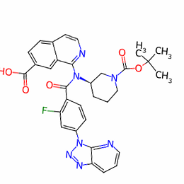 CC(C)(C)OC(=O)N1CCC[C@@H](N(C(=O)c2ccc(-n3nnc4cccnc43)cc2F)c2nccc3ccc(C(=O)O)cc23)C1